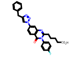 O=C(O)CCCCc1nc2cc(-n3cc(Cc4ccccc4)nn3)ccc2c(=O)n1-c1ccc(F)cc1